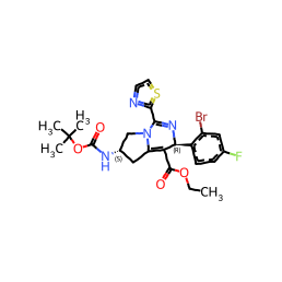 CCOC(=O)C1=C2C[C@H](NC(=O)OC(C)(C)C)CN2C(c2nccs2)=N[C@H]1c1ccc(F)cc1Br